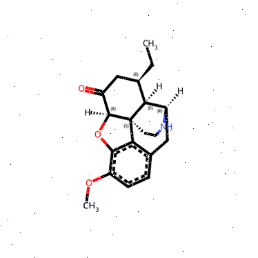 CC[C@@H]1CC(=O)[C@@H]2Oc3c(OC)ccc4c3[C@@]23CCN[C@H](C4)[C@H]13